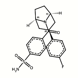 NS(=O)(=O)c1ccc(C(=O)N2[C@@H]3CC[C@H]2C[C@@H](c2ccc(F)cc2)C3)cc1